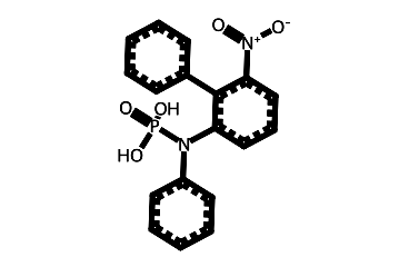 O=[N+]([O-])c1cccc(N(c2ccccc2)P(=O)(O)O)c1-c1ccccc1